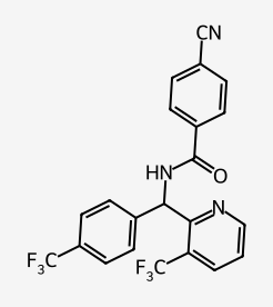 N#Cc1ccc(C(=O)NC(c2ccc(C(F)(F)F)cc2)c2ncccc2C(F)(F)F)cc1